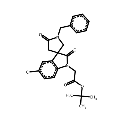 CC(C)(C)OC(=O)CN1C(=O)C2(CC(=O)N(Cc3ccccc3)C2)c2cc(Cl)ccc21